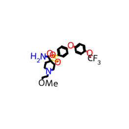 COCCN1CCC(C(N)=O)(S(=O)(=O)c2ccc(Oc3ccc(OC(F)(F)F)cc3)cc2)CC1